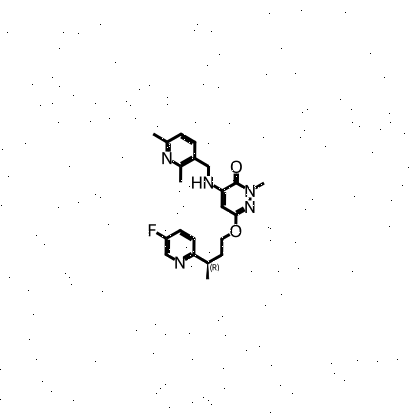 Cc1ccc(CNc2cc(OCC[C@@H](C)c3ccc(F)cn3)nn(C)c2=O)c(C)n1